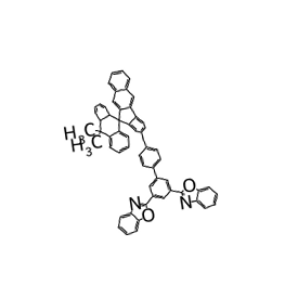 CC1(C)c2ccccc2C2(c3cc(-c4ccc(-c5cc(-c6nc7ccccc7o6)cc(-c6nc7ccccc7o6)c5)cc4)ccc3-c3cc4ccccc4cc32)C2C=CC=CC21